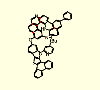 CC(C)(C)c1ccnc(-n2c3cc(Oc4cc(Nc5ccccc5Nc5c(-c6ccccc6)cccc5-c5cccc(-c6ccccc6)c5)cc(-c5ccncc5)c4)ccc3c3sc4c5ccccc5c5ccccc5c4c32)c1